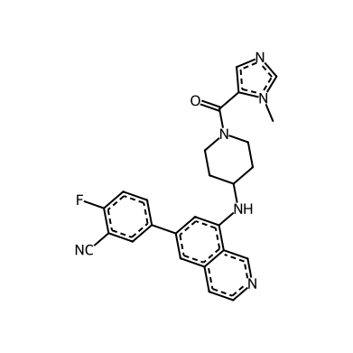 Cn1cncc1C(=O)N1CCC(Nc2cc(-c3ccc(F)c(C#N)c3)cc3ccncc23)CC1